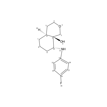 O[C@]12COCC[C@@H]1CCC[C@H]2Nc1ccc(F)cc1